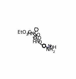 CCOC(=O)CNC(C(=O)N1CCC1C(=O)NOCc1ccc(/C(N)=N/O)cc1)C1CCCCC1